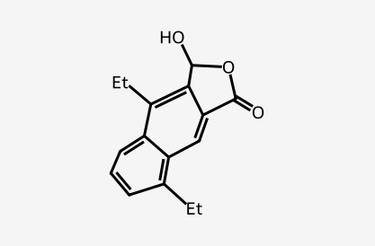 CCc1cccc2c(CC)c3c(cc12)C(=O)OC3O